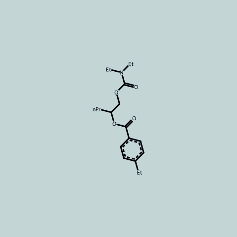 CCCC(COC(=O)N(CC)CC)OC(=O)c1ccc(CC)cc1